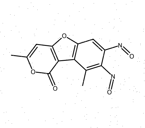 Cc1cc2oc3cc(N=O)c(N=O)c(C)c3c2c(=O)o1